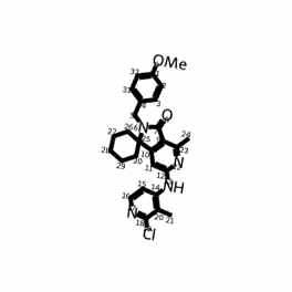 COc1ccc(CN2C(=O)c3c(cc(Nc4ccnc(Cl)c4C)nc3C)C23CCCCC3)cc1